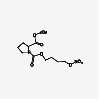 CCCCOC(=O)C1CCCN1C(=O)OCCCCO[N+](=O)[O-]